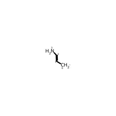 [CH2]/C=C/N